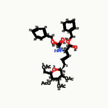 CC(=O)OCC1O[C@H](CC=C[C@H](NC(=O)OCc2ccccc2)C(=O)OCc2ccccc2)C(OC(C)=O)[C@@H](OC(C)=O)[C@H]1OC(C)=O